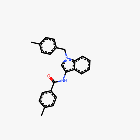 Cc1ccc(Cn2cc(NC(=O)c3ccc(C)cc3)c3ccccc32)cc1